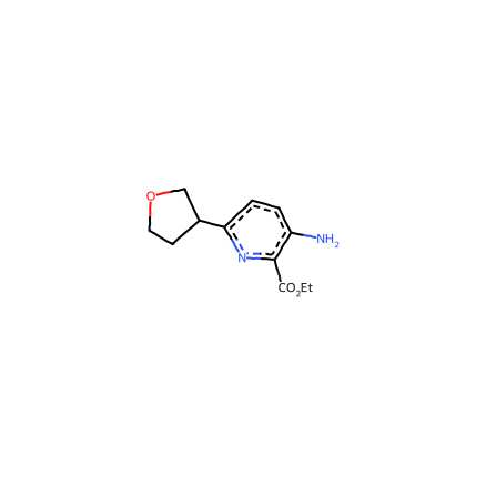 CCOC(=O)c1nc(C2CCOC2)ccc1N